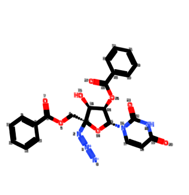 [N-]=[N+]=N[C@]1(COC(=O)c2ccccc2)O[C@@H](n2ccc(=O)[nH]c2=O)[C@H](OC(=O)c2ccccc2)[C@@H]1O